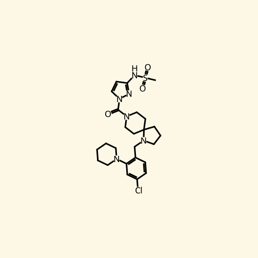 CS(=O)(=O)Nc1ccn(C(=O)N2CCC3(CCCN3Cc3ccc(Cl)cc3N3CCCCC3)CC2)n1